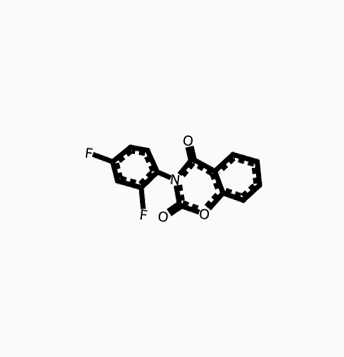 O=c1oc2ccccc2c(=O)n1-c1ccc(F)cc1F